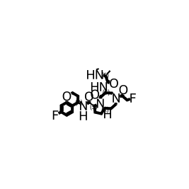 CN[C@@H](C)C(=O)N[C@H]1CN(C(=O)CF)CC[C@H]2CC[C@@H](C(=O)N[C@@H]3CCOc4cc(F)ccc43)N2C1=O